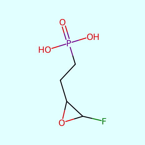 O=P(O)(O)CCC1OC1F